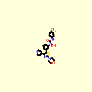 O=C(Nc1ccc(C(F)(F)F)cc1)N(O)c1cccc(-c2sc(N3CCOCC3)nc2-c2ccncc2)c1